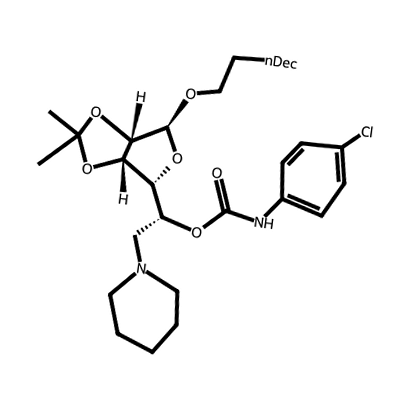 CCCCCCCCCCCCO[C@H]1O[C@H]([C@@H](CN2CCCCC2)OC(=O)Nc2ccc(Cl)cc2)[C@@H]2OC(C)(C)O[C@H]12